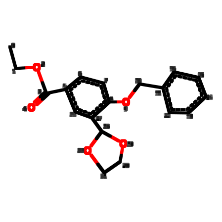 CCOC(=O)c1ccc(OCc2ccccc2)c(C2OCCO2)c1